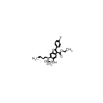 C=CCCN(c1cc2oc(-c3ccc(F)cc3)c(C(=O)OCC)c2cc1O)S(C)(=O)=O